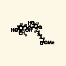 COC(=O)CCCSCC[C@H]1C(=O)C[C@@H](O)[C@@H]1/C=C/[C@@H](O)Cc1ccc(O)c(C)c1